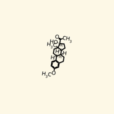 COc1ccc2c(c1)CC[C@@H]1[C@@H]2CC[C@@]2(C)[C@H]1CC[C@]2(O)C(C)=O